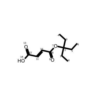 CCC(CC)(CC)OC(=O)C=CC(=O)O